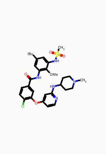 COc1c(NC(=O)c2ccc(Cl)c(Oc3ccnc(NC4CCN(C)CC4)c3)c2)cc(C(C)(C)C)cc1NS(C)(=O)=O